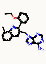 CCOc1ccccc1-c1nc2c(C)cccc2cc1Cn1cnc2c(N)ncnc21